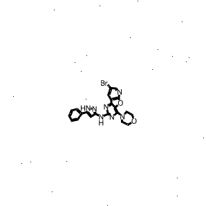 Brc1cnc2oc3c(N4CCOCC4)nc(Nc4cc(-c5ccccc5)[nH]n4)nc3c2c1